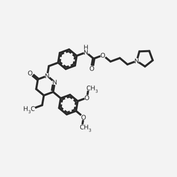 CCC1CC(=O)N(Cc2ccc(NC(=O)OCCCN3CCCC3)cc2)N=C1c1ccc(OC)c(OC)c1